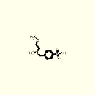 COCCN(C)Cc1ccc(S(=N)(N)=O)cc1